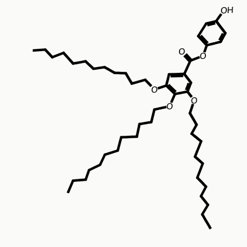 CCCCCCCCCCCCOc1cc(C(=O)Oc2ccc(O)cc2)cc(OCCCCCCCCCCCC)c1OCCCCCCCCCCCC